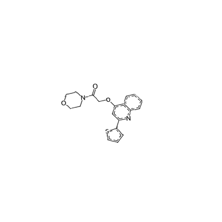 O=C(COc1cc(-c2cccs2)nc2ccccc12)N1CCOCC1